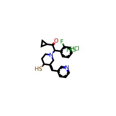 Cl.Cl.O=C(C1CC1)C(c1ccccc1F)N1CCC(S)C(=Cc2cccnc2)C1